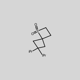 CC(C)C1(C(C)C)CC2(CCS2(=O)=O)C1